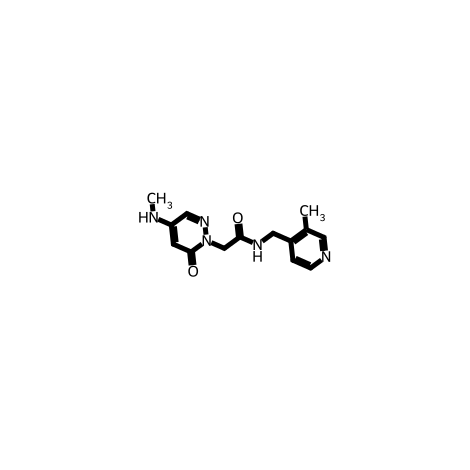 CNc1cnn(CC(=O)NCc2ccncc2C)c(=O)c1